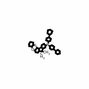 CC1(C)c2cc(N(c3ccc(-c4ccccc4)cc3)c3ccc(-c4ccccc4)cc3)ccc2-c2c1ccc1c2Sc2ccccc2O1